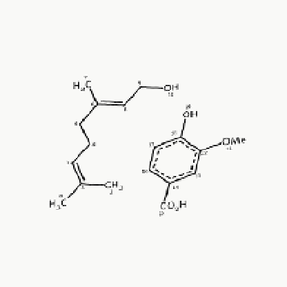 CC(C)=CCCC(C)=CCO.COc1cc(C(=O)O)ccc1O